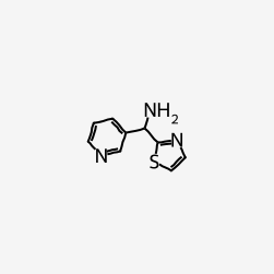 NC(c1cccnc1)c1nccs1